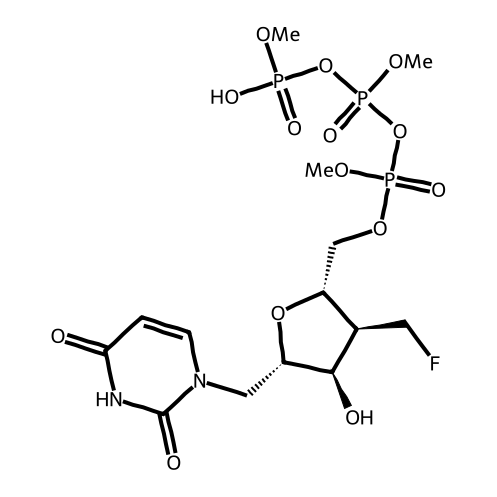 COP(=O)(O)OP(=O)(OC)OP(=O)(OC)OC[C@H]1O[C@@H](Cn2ccc(=O)[nH]c2=O)[C@H](O)[C@@H]1CF